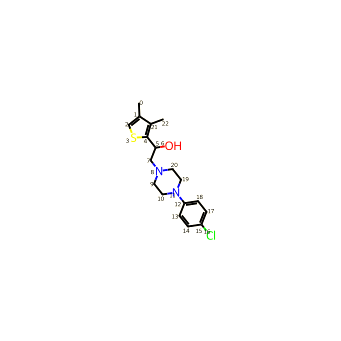 Cc1csc(C(O)CN2CCN(c3ccc(Cl)cc3)CC2)c1C